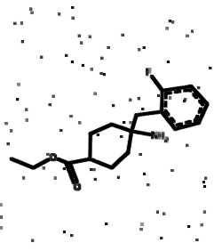 CCOC(=O)C1CCC(N)(Cc2ccccc2F)CC1